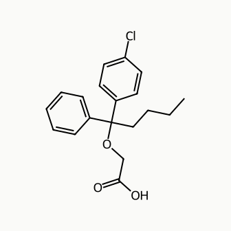 CCCCC(OCC(=O)O)(c1ccccc1)c1ccc(Cl)cc1